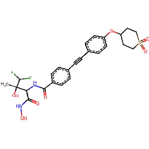 CC(O)(C(F)F)C(NC(=O)c1ccc(C#Cc2ccc(OC3CCS(=O)(=O)CC3)cc2)cc1)C(=O)NO